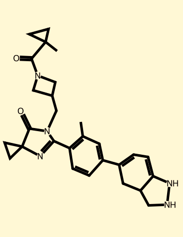 Cc1cc(C2=CC=C3NNCC3C2)ccc1C1=NC2(CC2)C(=O)N1CC1CN(C(=O)C2(C)CC2)C1